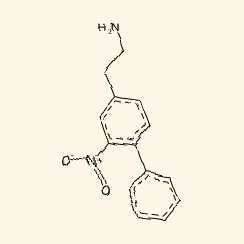 NCCc1ccc(-c2ccccc2)c([N+](=O)[O-])c1